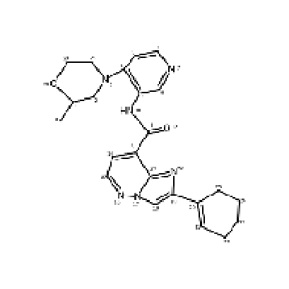 CC1CN(c2ccncc2NC(=O)c2ccnn3cc(C4=CCCCC4)nc23)CCO1